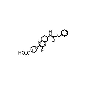 O=C(N[C@H]1CCc2nc(N3CCN(C(=O)O)CC3)c(F)cc2C1)OCc1ccccc1